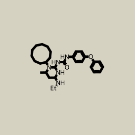 CCNC1CC(C)N(C2CCCCCCCCC2)C(NC(=O)Nc2ccc(Oc3ccccc3)cc2)N1